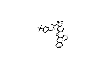 Cc1c(C)n(Cc2ccc(C(C)(C)C)cc2)c2c(OC(Cc3ccccc3)C3=COCO3)ccnc12.Cl